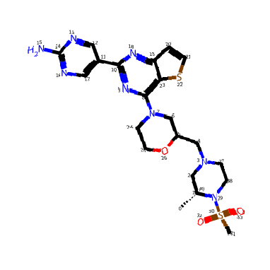 C[C@@H]1CN(CC2CN(c3nc(-c4cnc(N)nc4)nc4ccsc34)CCO2)CCN1S(C)(=O)=O